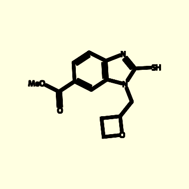 COC(=O)c1ccc2nc(S)n(CC3CCO3)c2c1